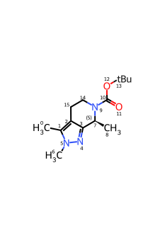 Cc1c2c(nn1C)[C@H](C)N(C(=O)OC(C)(C)C)CC2